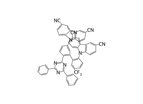 N#Cc1ccc2c(c1)c1cc(C#N)ccc1n2-c1ccc(-c2nc(-c3ccccc3)nc(-c3ccccc3)n2)c(-c2cc(C(F)(F)F)ccc2-n2c3ccc(C#N)cc3c3cc(C#N)ccc32)c1